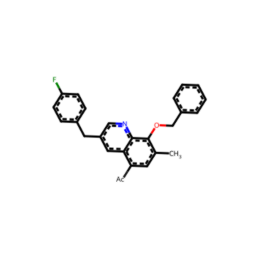 CC(=O)c1cc(C)c(OCc2ccccc2)c2ncc(Cc3ccc(F)cc3)cc12